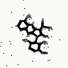 COc1ccc(C)c(-n2c(N)c(C(N)=O)c3nc4c(C)cccc4nc32)c1C